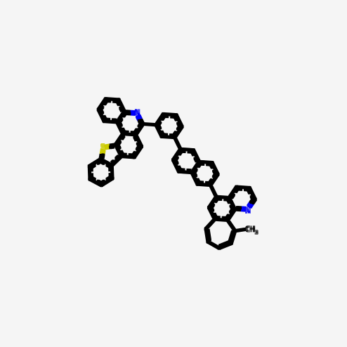 CC1=C=CC=Cc2cc(-c3ccc4cc(-c5cccc(-c6nc7ccccc7c7c6ccc6c8ccccc8sc67)c5)ccc4c3)c3cccnc3c21